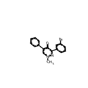 Cn1cc(-c2ccccc2)c(=O)c(-c2cccc(Br)c2)n1